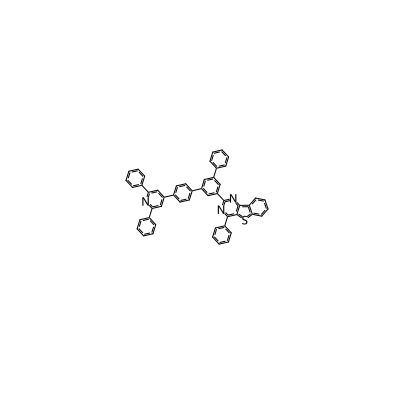 c1ccc(-c2cc(-c3ccc(-c4cc(-c5ccccc5)nc(-c5ccccc5)c4)cc3)cc(-c3nc(-c4ccccc4)c4sc5ccccc5c4n3)c2)cc1